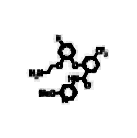 COc1cc(NC(=O)c2ccc(C(F)(F)F)cc2Oc2ccc(F)cc2OCCN)ccn1